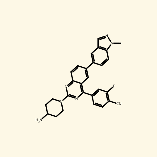 Cn1ncc2cc(-c3ccc4nc(N5CCC(N)CC5)nc(-c5ccc(C#N)c(F)c5)c4c3)ccc21